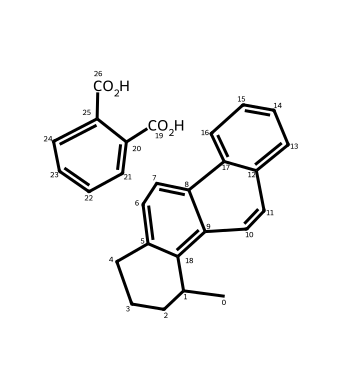 CC1CCCc2ccc3c(ccc4ccccc43)c21.O=C(O)c1ccccc1C(=O)O